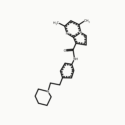 Cc1cc(C)n2ccc(C(=O)Nc3ccc(CCN4CCCCC4)cc3)c2n1